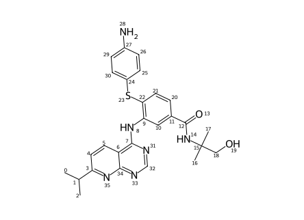 CC(C)c1ccc2c(Nc3cc(C(=O)NC(C)(C)CO)ccc3Sc3ccc(N)cc3)ncnc2n1